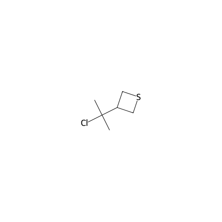 CC(C)(Cl)C1CSC1